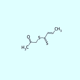 C/C=C/C(=S)SCC(C)=O